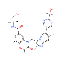 Cc1nc2cc(F)c(-c3cnc(C(C)(C)O)nc3)cn2c1CN1C(=O)C(C)Oc2c(F)cc(C(=O)NC(C)(C)CO)cc21